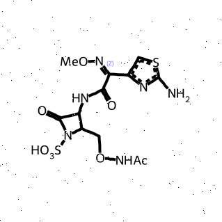 CO/N=C(\C(=O)NC1C(=O)N(S(=O)(=O)O)C1CONC(C)=O)c1csc(N)n1